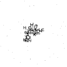 CC(C)(CNC(=O)c1ccc2[nH]cnc2c1)NCC(=O)N1C[C@@H](F)C[C@H]1C#N